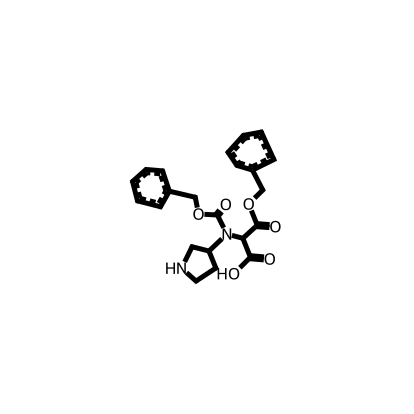 O=C(O)C(C(=O)OCc1ccccc1)N(C(=O)OCc1ccccc1)C1CCNC1